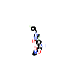 CC1Nc2cc(Cl)c(C(=O)N3C[C@H](C)N(Cc4ccc(F)cc4)C[C@H]3C)cc2C1C(=O)C(=O)N1CCCC1